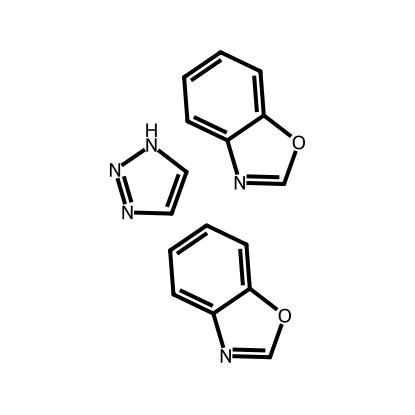 c1c[nH]nn1.c1ccc2ocnc2c1.c1ccc2ocnc2c1